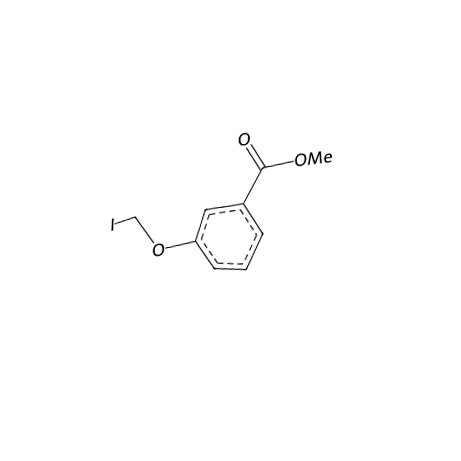 COC(=O)c1cccc(OCI)c1